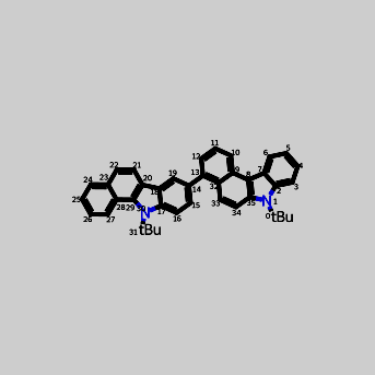 CC(C)(C)n1c2ccccc2c2c3cccc(-c4ccc5c(c4)c4ccc6ccccc6c4n5C(C)(C)C)c3ccc21